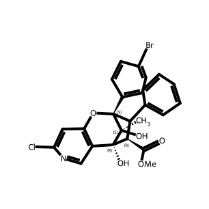 COC(=O)[C@@H]1C(c2ccccc2)[C@@]2(c3ccc(Br)cc3)Oc3cc(Cl)ncc3[C@@]1(O)[C@]2(C)O